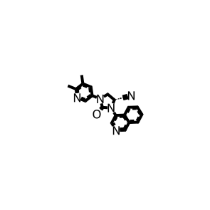 Cc1cc(N2C[C@H](C#N)N(c3cncc4ccccc34)C2=O)cnc1C